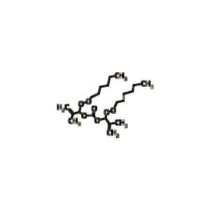 C=C(C)C(OOCCCCCC)OC(=O)OC(OOCCCCCC)C(=C)C